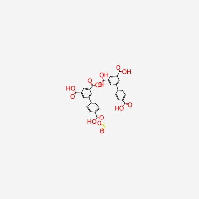 O=C(O)c1ccc(-c2cc(C(=O)O)cc(C(=O)O)c2)cc1.O=C(O)c1ccc(-c2cc(C(=O)O)cc(C(=O)O)c2)cc1.O=S=O